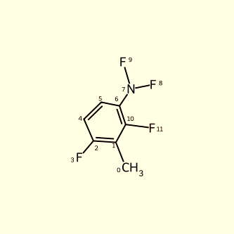 Cc1c(F)ccc(N(F)F)c1F